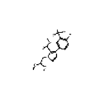 COC(Cn1ccc(-c2ccc(F)c(C(F)(F)F)c2)c1C(O)OC)OC